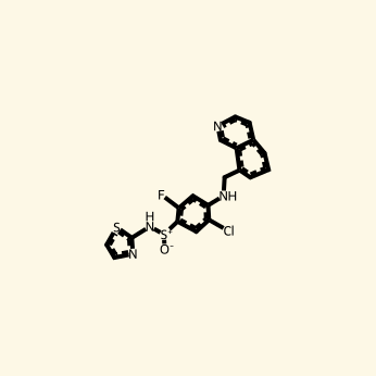 [O-][S+](Nc1nccs1)c1cc(Cl)c(NCc2cccc3ccncc23)cc1F